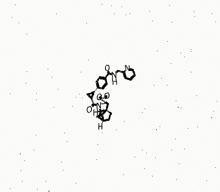 CC1(C)[C@H]2CC[C@@]13CS(=O)(=O)N(C(=O)[C@H]1C[C@@H]1c1ccc(C(=O)NCc4ccccn4)cc1)[C@H]3C2